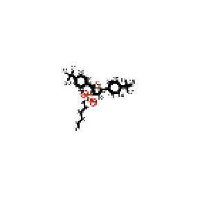 CCCCCCS(=O)(=O)c1cc(-c2ccc(C(C)(C)C)cc2)sc1-c1ccc(C(C)(C)C)cc1